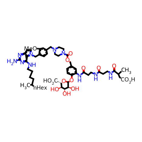 CCCCCCC(C)CCCCNc1nc(N)nc2ccn(Cc3ccc(CN4CCN(C(=O)OCc5ccc(OC6O[C@@H](C(=O)O)[C@H](O)[C@@H](O)[C@@H]6O)c(NC(=O)CCNC(=O)CCNC(=O)C(C)CC(=O)O)c5)CC4)cc3OC)c12